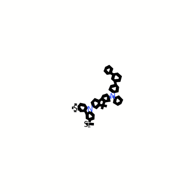 CC1(C)c2cc(N(c3ccccc3)c3ccc(-c4cccc(-c5ccccc5)c4)cc3)ccc2-c2ccc(-n3c4ccc([Si](C)(C)C)cc4c4cc([Si](C)(C)C)ccc43)cc21